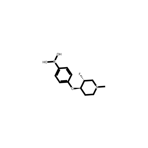 CN1CC[C@@H](Oc2ccc(B(O)O)cc2)[C@H](F)C1